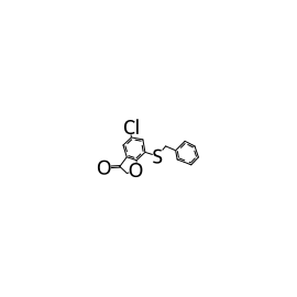 O=C1COc2c(SCc3ccccc3)cc(Cl)cc21